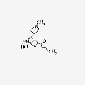 CCCCC(=O)c1ccc2[nH]cc(C3CCN(C)CC3)c2c1.Cl